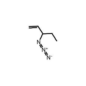 C=CC(CC)N=[N+]=[N-]